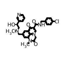 CN(Cc1cc2c3c(c1)c(=O)c(C(=O)NCc1ccc(Cl)cc1)cn3CC(=O)N2C)C[C@@H](O)c1cccnc1